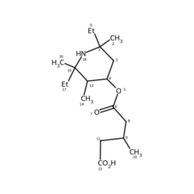 CCC1(C)CC(OC(=O)CC(C)CC(=O)O)C(C)C(C)(CC)N1